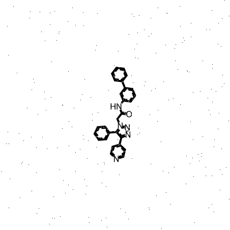 O=C(Cn1nnc(-c2ccncc2)c1-c1ccccc1)Nc1cccc(-c2ccccc2)c1